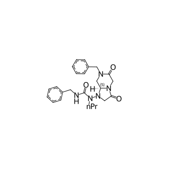 CCCN(C(=O)NCc1ccccc1)N1CC(=O)N2CC(=O)N(Cc3ccccc3)C[C@@H]21